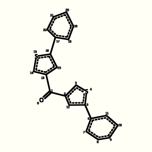 O=C(c1csc(-c2ccccc2)c1)c1csc(-c2ccccc2)c1